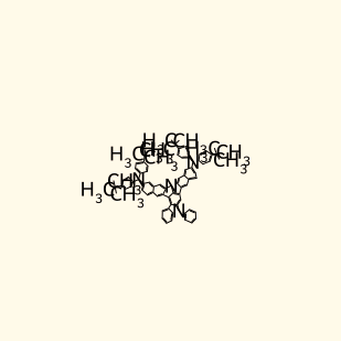 CC(C)(C)C1=CCC(N(c2ccc(C(C)(C)C)cc2)c2ccc3cc4c5cc6c(c7ccccc7n6-c6ccccc6)c6c7cc8ccc(N(c9ccc(C(C)(C)C)cc9)c9ccc(C(C)(C)C)cc9)cc8cc7n(c4cc3c2)c56)C=C1